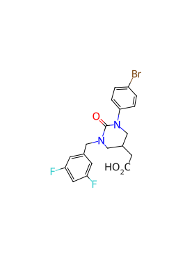 O=C(O)CC1CN(Cc2cc(F)cc(F)c2)C(=O)N(c2ccc(Br)cc2)C1